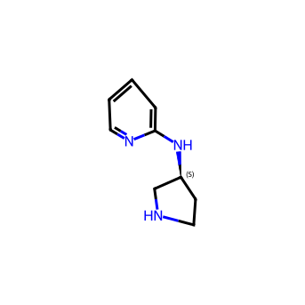 c1ccc(N[C@H]2CCNC2)nc1